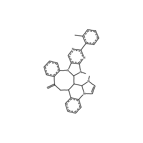 C=C1CC2c3ccccc3N3C=CN(C)C3C2C2N(C)c3nc(-c4ccccc4C)ncc3N2c2ccccc21